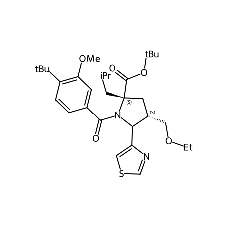 CCOC[C@H]1C[C@@](CC(C)C)(C(=O)OC(C)(C)C)N(C(=O)c2ccc(C(C)(C)C)c(OC)c2)C1c1cscn1